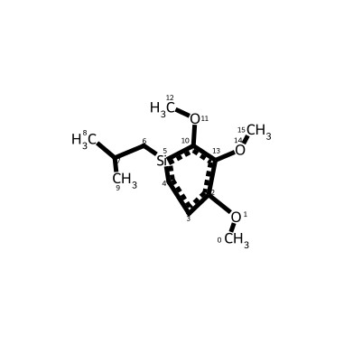 COc1cc[si](CC(C)C)c(OC)c1OC